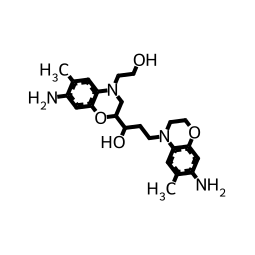 Cc1cc2c(cc1N)OCCN2CCC(O)C1CN(CCO)c2cc(C)c(N)cc2O1